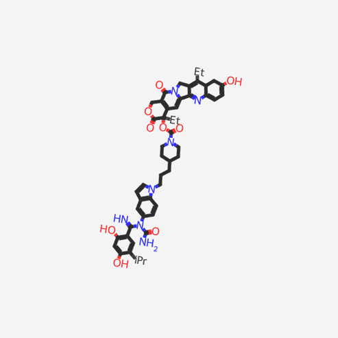 CCC1=C2Cn3c(cc4c(c3=O)COC(=O)C4(CC)OC(=O)N3CCC(CCCn4ccc5cc(N(C(=N)c6cc(C(C)C)c(O)cc6O)C(N)=O)ccc54)CC3)C2=NC2=CC=C(O)CC21